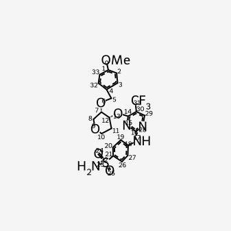 COc1ccc(CO[C@H]2COCC[C@H]2Oc2nc(Nc3ccc(S(N)(=O)=O)cc3)ncc2C(F)(F)F)cc1